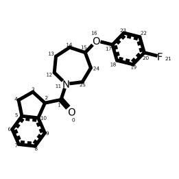 O=C(C1CCc2ccccc21)N1CCCC(Oc2ccc(F)cc2)CC1